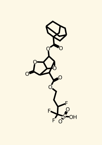 O=C1OC2C(OC(=O)C34CC5CC(CC(C5)C3)C4)C3OC2C1C3C(=O)OCCC(F)C(F)(F)S(=O)(=O)O